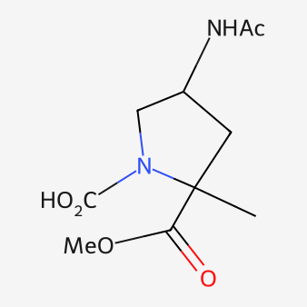 COC(=O)C1(C)CC(NC(C)=O)CN1C(=O)O